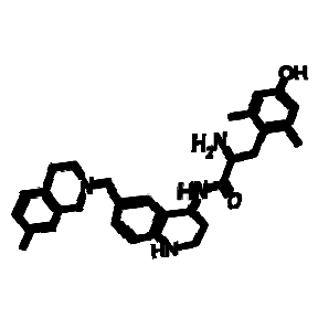 Cc1ccc2c(c1)CN(Cc1ccc3c(c1)C(NC(=O)C(N)Cc1c(C)cc(O)cc1C)CCN3)CC2